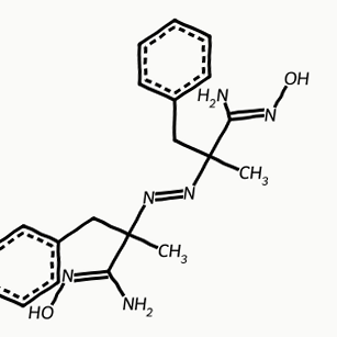 CC(Cc1ccccc1)(N=NC(C)(Cc1ccccc1)C(N)=NO)C(N)=NO